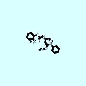 CCCOc1c/c(=N\C(=O)Oc2ccccc2C)cnn1-c1ccccc1